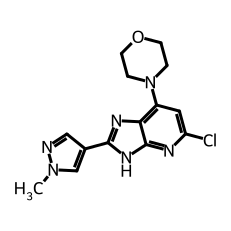 Cn1cc(-c2nc3c(N4CCOCC4)cc(Cl)nc3[nH]2)cn1